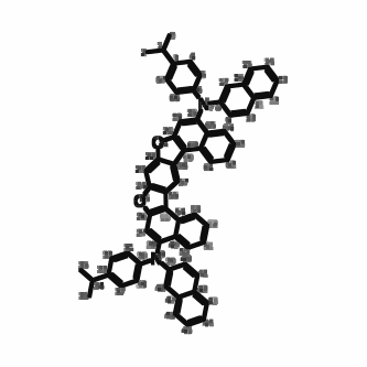 CC(C)c1ccc(N(c2ccc3ccccc3c2)c2cc3oc4cc5oc6cc(N(c7ccc(C(C)C)cc7)c7ccc8ccccc8c7)c7ccccc7c6c5cc4c3c3ccccc23)cc1